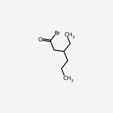 CCCC(CC)CC(=O)Br